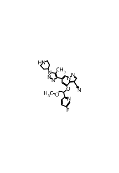 COCC(Oc1cc(-c2nnn(C3CCNCC3)c2C)cn2ncc(C#N)c12)c1ccc(F)cn1